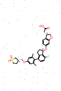 Cc1cc(OC[C@@H]2CCS(=O)(=O)C2)cc(C)c1-c1ccc(F)c2c1CC[C@H]2Oc1ccc2c(c1)OC[C@H]2CC(=O)O